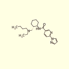 CCCCN(CC)C[C@@H]1CCCC[C@H]1NC(=O)c1ccc(-n2cccn2)nc1